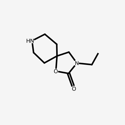 CCN1CC2(CCNCC2)OC1=O